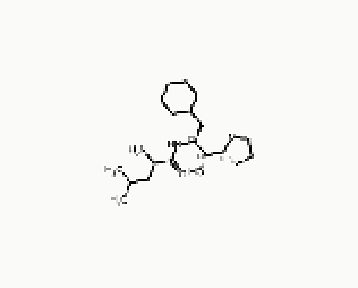 CC(C)CC(N)C(=O)N[C@@H](CC1CCCCC1)[C@@H](O)[C@H]1CCCO1